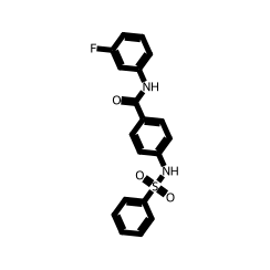 O=C(Nc1cccc(F)c1)c1ccc(NS(=O)(=O)c2ccccc2)cc1